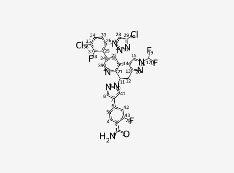 NC(=O)c1ccc(-c2cnn([C@H](Cc3ccn(C(F)F)n3)c3ccc(-c4c(-n5cc(Cl)nn5)ccc(Cl)c4F)cn3)c2)cc1F